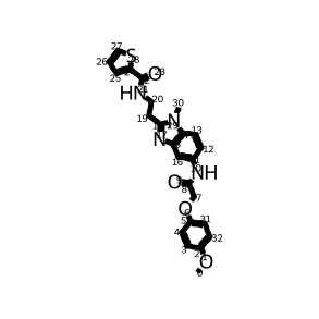 COc1ccc(OCC(=O)Nc2ccc3c(c2)nc(CCNC(=O)c2cccs2)n3C)cc1